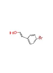 OC=Cc1ccc(Br)cc1